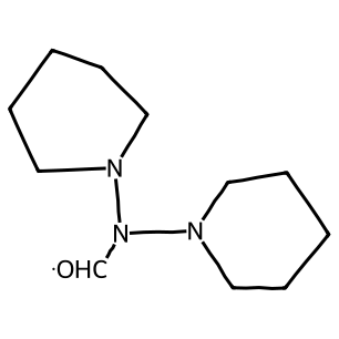 O=[C]N(N1CCCCC1)N1CCCCC1